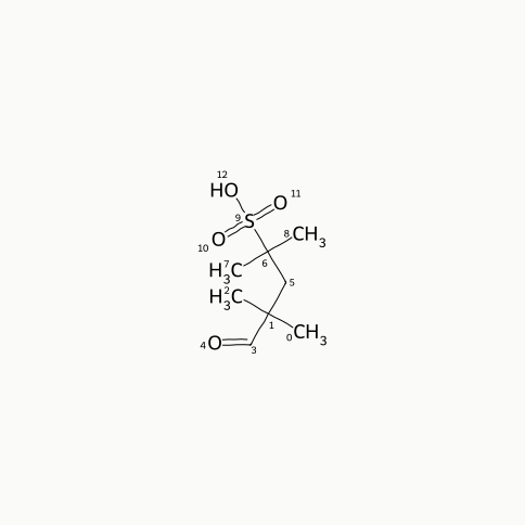 CC(C)(C=O)CC(C)(C)S(=O)(=O)O